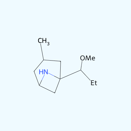 CCC(OC)C12CC(C)CC(C1)N2